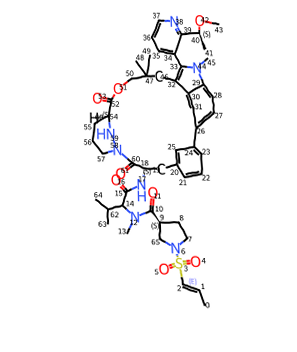 C/C=C/S(=O)(=O)N1CC[C@H](C(=O)N(C)C(C(=O)N[C@H]2Cc3cccc(c3)-c3ccc4c(c3)c(c(-c3cccnc3[C@H](C)OC)n4C)CC(C)(C)COC(=O)[C@@H]3CCCN(N3)C2=O)C(C)C)C1